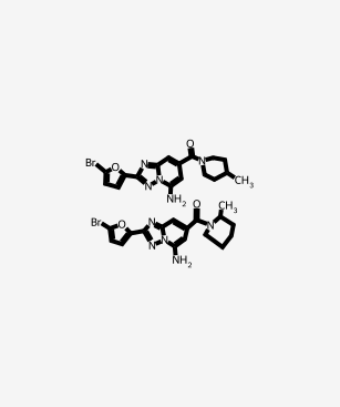 CC1CCCCN1C(=O)c1cc(N)n2nc(-c3ccc(Br)o3)nc2c1.CC1CCN(C(=O)c2cc(N)n3nc(-c4ccc(Br)o4)nc3c2)CC1